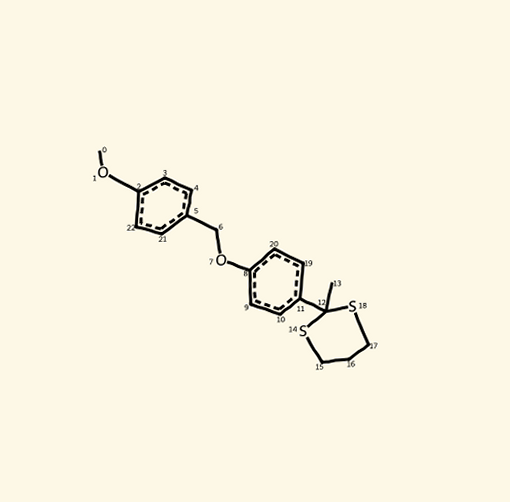 COc1ccc(COc2ccc(C3(C)SCCCS3)cc2)cc1